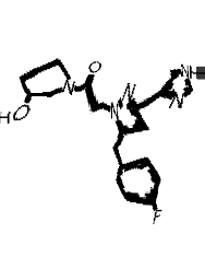 O=C(Cn1nc(-c2c[nH]cn2)cc1Cc1ccc(F)cc1)N1CCCC(O)C1